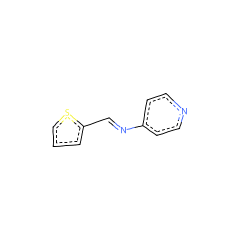 C(=Nc1ccncc1)c1cccs1